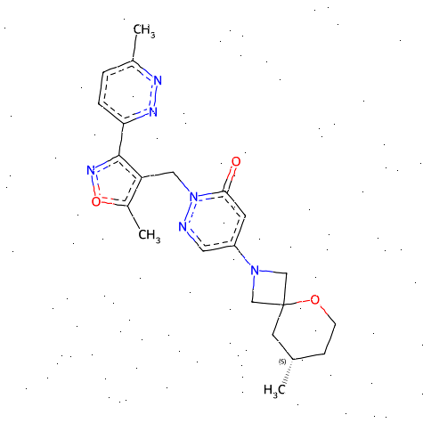 Cc1ccc(-c2noc(C)c2Cn2ncc(N3CC4(C[C@@H](C)CCO4)C3)cc2=O)nn1